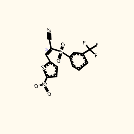 N#C/C(=C/c1ccc([N+](=O)[O-])s1)S(=O)(=O)c1cccc(C(F)(F)F)c1